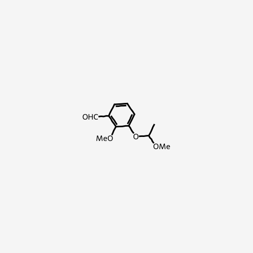 COc1c(C=O)cccc1OC(C)OC